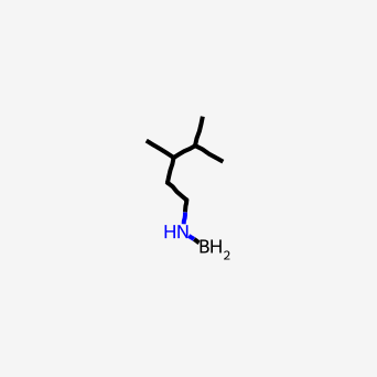 BNCCC(C)C(C)C